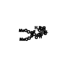 BOC(=O)C1=C(C[N+]23CCC[C@H]2CN(C(=O)c2cc(F)c(OCc4ccc(OC)cc4)c(OCc4ccc(OC)cc4)c2)CC3)C[S+]([O-])[C@@H]2CC(=O)N12